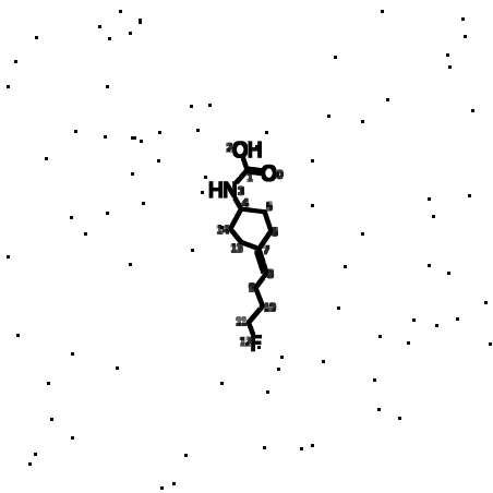 O=C(O)NC1CCC(=CCCCF)CC1